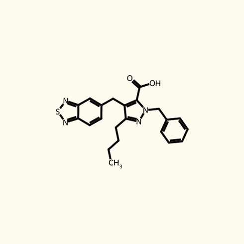 CCCCc1nn(Cc2ccccc2)c(C(=O)O)c1Cc1ccc2nsnc2c1